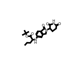 CCCC(Nc1ccc2c(c1)CN(C1CCC(=O)NC1=O)C2=O)C(=O)OC(C)(C)C